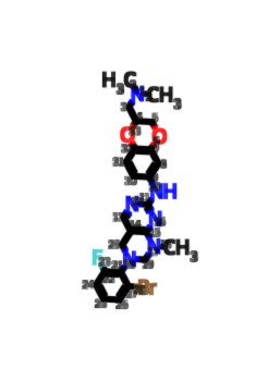 CN(C)CC1COc2cc(Nc3ncc4c(n3)N(C)CN(c3c(F)cccc3Br)C4)ccc2O1